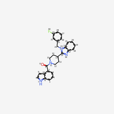 O=C(c1cccc2[nH]ccc12)N1CCC(c2nc3ccccc3n2Cc2cccc(F)c2)CC1